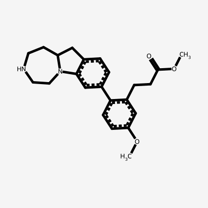 COC(=O)CCc1cc(OC)ccc1-c1ccc2c(c1)N1CCNCCC1C2